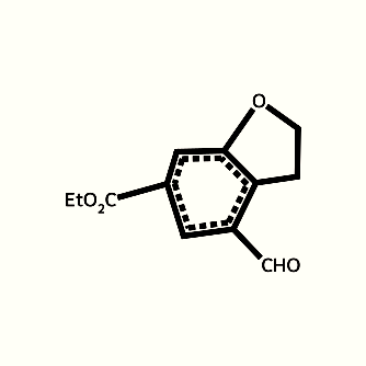 CCOC(=O)c1cc(C=O)c2c(c1)OCC2